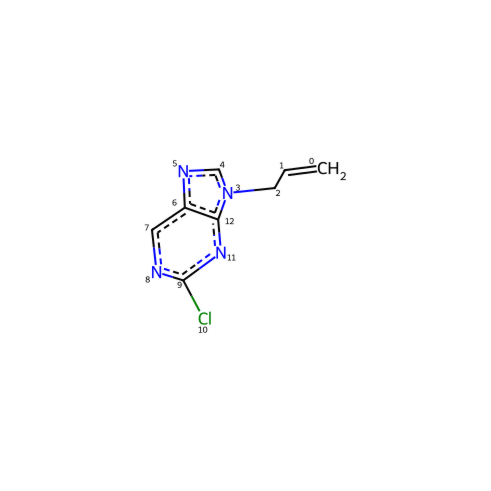 C=CCn1cnc2cnc(Cl)nc21